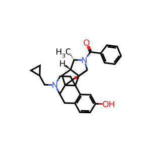 C[C@H]1[C@H]2CC34CCC(C2C32CCN(CC3CC3)C4Cc3ccc(O)cc32)N1C(=O)c1ccccc1